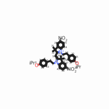 CC(C)Oc1ccc(CCN2/C(=C/C3=[N+](CCc4ccc(OC(C)C)cc4)c4ccc([N+](=O)[O-])cc4C3(C)C)C(C)(C)c3cc([N+](=O)[O-])ccc32)cc1